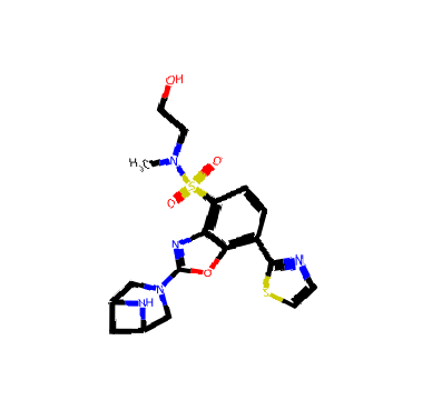 CN(CCO)S(=O)(=O)c1ccc(-c2nccs2)c2oc(N3CC4CC(C3)N4)nc12